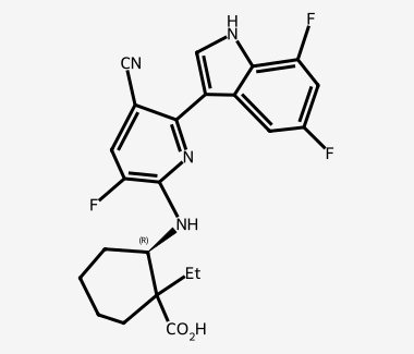 CCC1(C(=O)O)CCCC[C@H]1Nc1nc(-c2c[nH]c3c(F)cc(F)cc23)c(C#N)cc1F